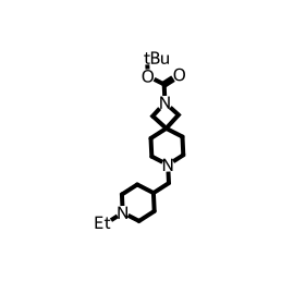 CCN1CCC(CN2CCC3(CC2)CN(C(=O)OC(C)(C)C)C3)CC1